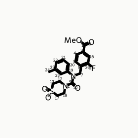 COC(=O)c1ccc(CN(C(=O)N2CCS(=O)(=O)CC2)c2cccc(C)c2)c(F)c1